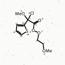 COCCOOC(=O)C(Cl)(OC)c1cccs1